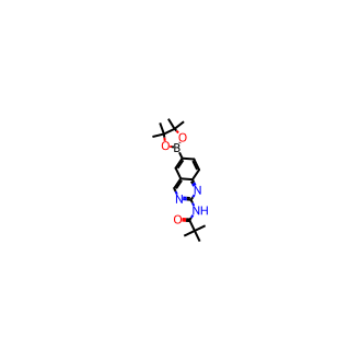 CC(C)(C)C(=O)Nc1ncc2cc(B3OC(C)(C)C(C)(C)O3)ccc2n1